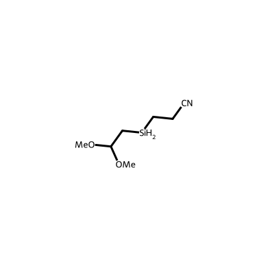 COC(C[SiH2]CCC#N)OC